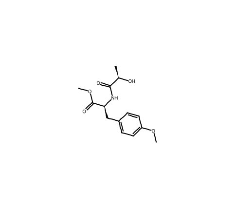 COC(=O)[C@H](Cc1ccc(OC)cc1)NC(=O)[C@@H](C)O